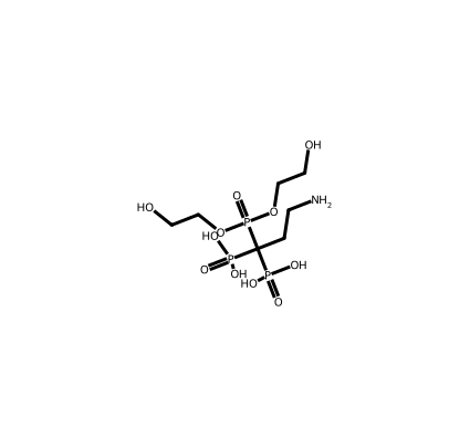 NCCC(P(=O)(O)O)(P(=O)(O)O)P(=O)(OCCO)OCCO